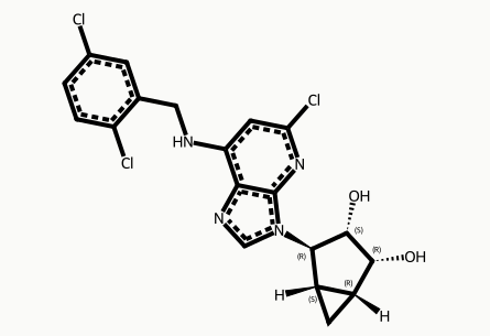 O[C@@H]1[C@H](O)[C@@H]2C[C@@H]2[C@H]1n1cnc2c(NCc3cc(Cl)ccc3Cl)cc(Cl)nc21